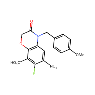 COc1ccc(CN2C(=O)COc3c2cc([N+](=O)[O-])c(F)c3C(=O)O)cc1